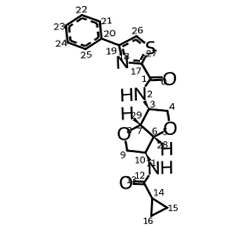 O=C(N[C@H]1CO[C@H]2[C@@H]1OC[C@@H]2NC(=O)C1CC1)c1nc(-c2ccccc2)cs1